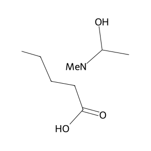 CCCCC(=O)O.CNC(C)O